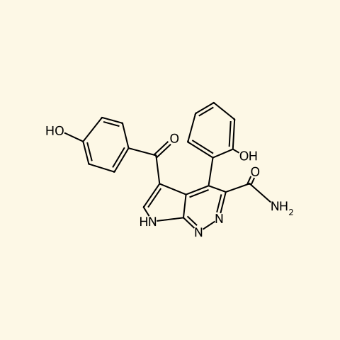 NC(=O)c1nnc2[nH]cc(C(=O)c3ccc(O)cc3)c2c1-c1ccccc1O